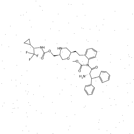 COC(=O)N(C(=O)[C@@H](N)C(c1ccccc1)c1ccccc1)c1ccccc1CC[C@@H]1CN[C@H](COC(=O)NC(C2CC2)C(F)(F)F)CO1